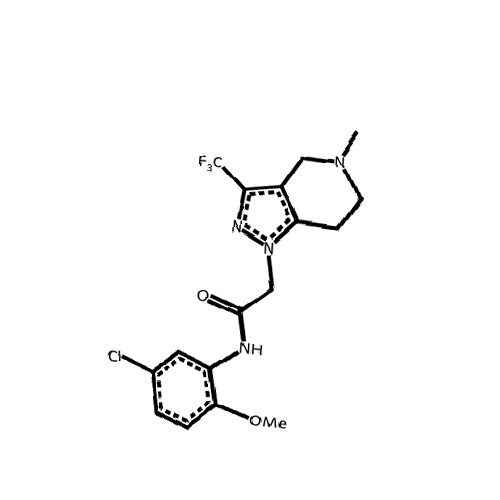 COc1ccc(Cl)cc1NC(=O)Cn1nc(C(F)(F)F)c2c1CCN(C)C2